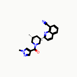 C[C@@H]1C[C@H](c2ccc3cccc(C#N)c3n2)CN(C(=O)c2cnn(C)c2)C1